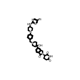 CC(C)c1cnc(NC2CCN(c3ccc(CN4CCC(O)(c5ccc6c(c5)CN(C5CCC(=O)NC5=O)C6=O)CC4)cc3)CC2)nc1